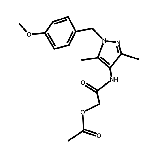 COc1ccc(Cn2nc(C)c(NC(=O)COC(C)=O)c2C)cc1